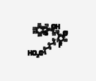 O=C(O)CCCCCC[C@H]1[C@H](F)CC(=O)[C@@H]1CC[C@@H](O)c1cc2ccccc2s1